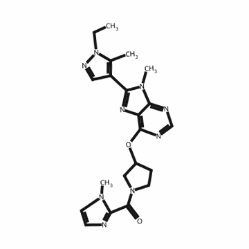 CCn1ncc(-c2nc3c(OC4CCN(C(=O)c5nccn5C)C4)ncnc3n2C)c1C